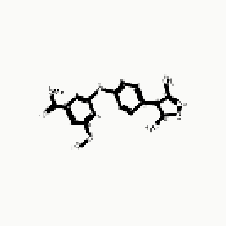 COC(=O)c1cc(Oc2ccc(C3C(C)=NOC3C)cc2)cc(OC(C)C)c1